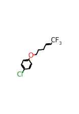 FC(F)(F)/C=C/CCCOc1ccc(Cl)cc1